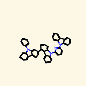 c1ccc(-n2c3ccccc3c3ccc(-c4cccc5c4c4ccccc4n5-c4cccc(-n5c6ccccc6c6ccccc65)n4)cc32)cc1